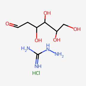 Cl.N=C(N)NN.O=CCC(O)C(O)C(O)CO